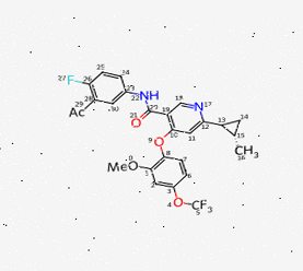 COc1cc(OC(F)(F)F)ccc1Oc1cc(C2C[C@@H]2C)ncc1C(=O)Nc1ccc(F)c(C(C)=O)c1